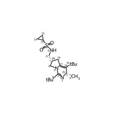 C[C@@H]1N=C(C(C)(C)C)N2C[C@H](CNS(=O)(=O)C3CC3)CC2=C1C(C)(C)C